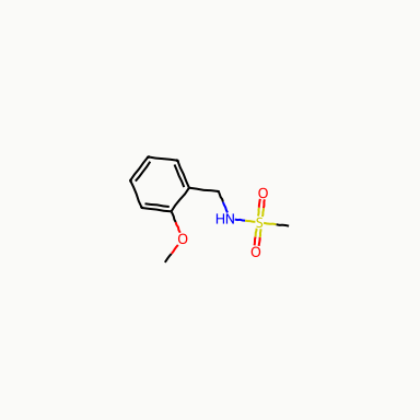 COc1ccccc1CNS(C)(=O)=O